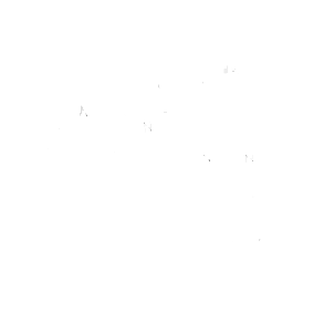 CCC(C)Oc1cc2nc(C34CCC(C)(C3)OC4)cn2cc1C(=O)Nc1cccn(C2CC2)c1=O